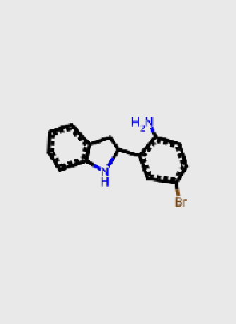 Nc1ccc(Br)cc1C1Cc2ccccc2N1